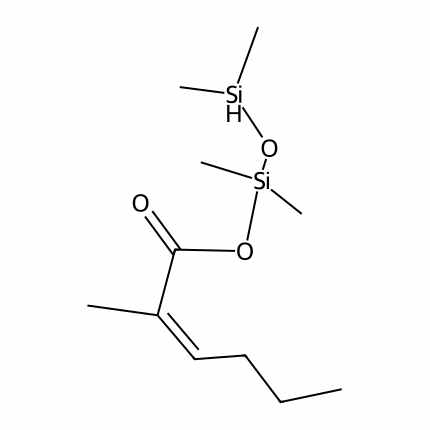 CCCC=C(C)C(=O)O[Si](C)(C)O[SiH](C)C